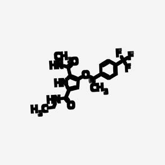 CCNC(=O)c1cc(O[C@H](C)c2ccc(C(F)(F)F)cc2)c(C(=O)NC)[nH]1